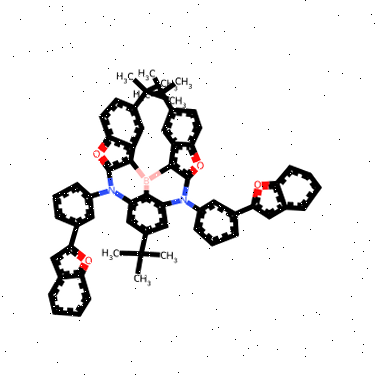 CC(C)(C)c1cc2c3c(c1)N(c1cccc(-c4cc5ccccc5o4)c1)c1oc4ccc(C(C)(C)C)cc4c1B3c1c(oc3ccc(C(C)(C)C)cc13)N2c1cccc(-c2cc3ccccc3o2)c1